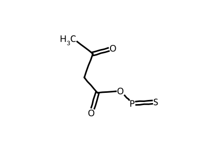 CC(=O)CC(=O)OP=S